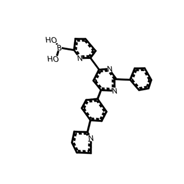 OB(O)c1cccc(-c2cc(-c3ccc(-c4ccccn4)cc3)nc(-c3ccccc3)n2)n1